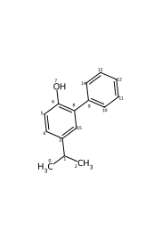 CC(C)c1ccc(O)c(-c2ccccc2)c1